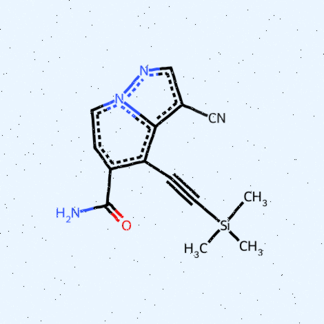 C[Si](C)(C)C#Cc1c(C(N)=O)ccn2ncc(C#N)c12